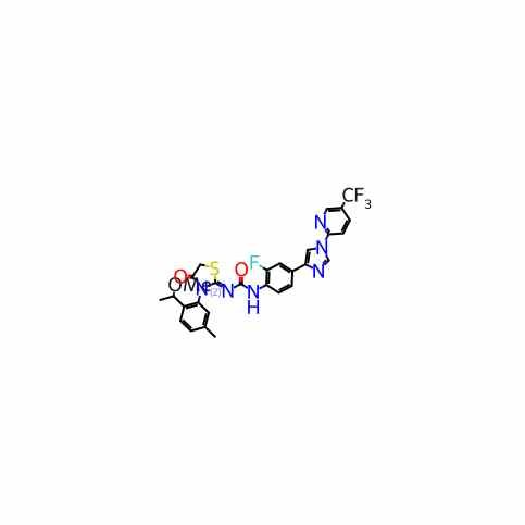 COC(C)c1ccc(C)cc1N1C(=O)CS/C1=N\C(=O)Nc1ccc(-c2cn(-c3ccc(C(F)(F)F)cn3)cn2)cc1F